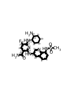 CS(=O)(=O)Nc1cccc2cc(Nc3nc(N[C@@H]4CCCC[C@@H]4N)c(F)cc3C(N)=O)cnc12